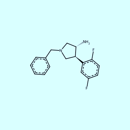 N[C@H]1CN(Cc2ccccc2)C[C@@H]1c1cc(F)ccc1F